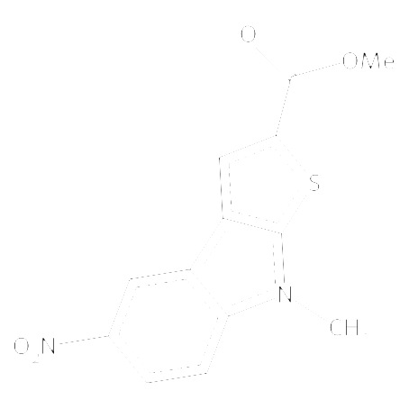 COC(=O)c1cc2c3cc([N+](=O)[O-])ccc3n(C)c2s1